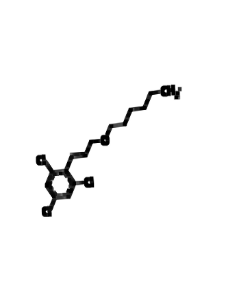 [CH2]CCCCCOC/C=C/c1c(Cl)cc(Cl)cc1Cl